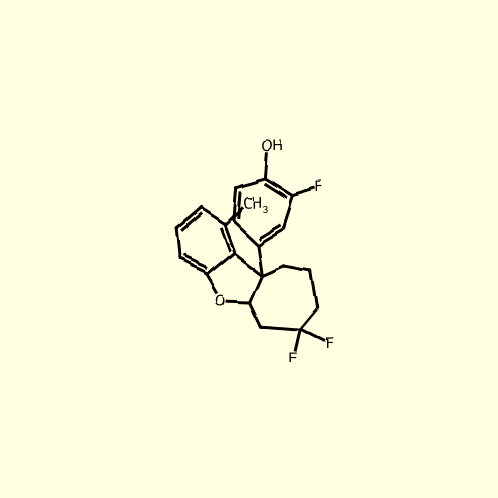 Cc1cccc2c1C1(c3ccc(O)c(F)c3)CCCC(F)(F)CC1O2